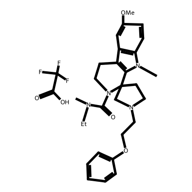 CCN(C)C(=O)N1CCc2c(n(C)c3ccc(OC)cc23)C12CCN(CCOc1ccccc1)C2.O=C(O)C(F)(F)F